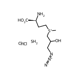 C[S+](CC[C@H](N)C(=O)O)CC(O)CN=[N+]=[N-].Cl.S.[Cl-]